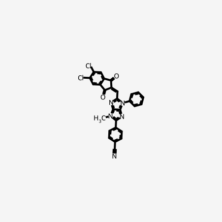 Cn1c(-c2ccc(C#N)cc2)nc2c1nc(C=C1C(=O)c3cc(Cl)c(Cl)cc3C1=O)n2-c1ccccc1